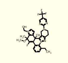 CCc1cccc2c1-n1nc3c(c1C1(C)C2=C(F)C(C)(OC)c2c1ccn2CO)CN(c1ncc(C(F)(F)F)cn1)CC3